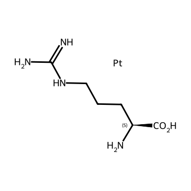 N=C(N)NCCC[C@H](N)C(=O)O.[Pt]